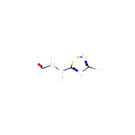 O=CNNc1nc(Cl)ns1